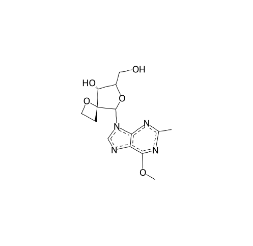 COc1nc(C)nc2c1ncn2C1OC(CO)[C@@H](O)[C@]12CCO2